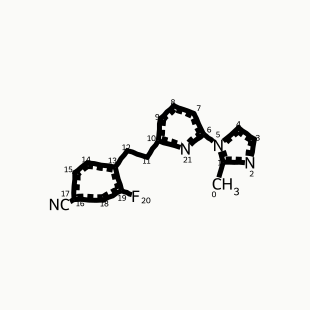 Cc1nccn1-c1cccc(CCc2ccc(C#N)cc2F)n1